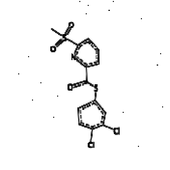 CS(=O)(=O)c1cccc(C(=O)Sc2ccc(Cl)c(Cl)c2)n1